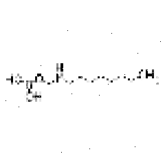 CCCCCCCCPCOB(O)O